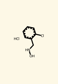 Cl.ONCc1ccccc1Cl